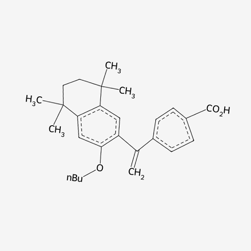 C=C(c1ccc(C(=O)O)cc1)c1cc2c(cc1OCCCC)C(C)(C)CCC2(C)C